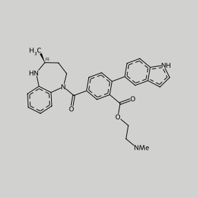 CNCCOC(=O)c1cc(C(=O)N2CC[C@H](C)Nc3ccccc32)ccc1-c1ccc2[nH]ccc2c1